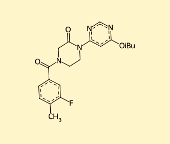 Cc1ccc(C(=O)N2CCN(c3cc(OCC(C)C)ncn3)C(=O)C2)cc1F